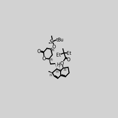 CCC(C)(CC)C(=O)O[C@H]1CCC=C2C=C[C@@H](C)[C@H](CC[C@@H]3C[C@@H](O[Si](C)(C)C(C)(C)C)CC(=O)O3)[C@H]21